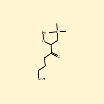 CCCCCCCCCCCC(=O)C(C[N+](C)(C)C)O[PH-]